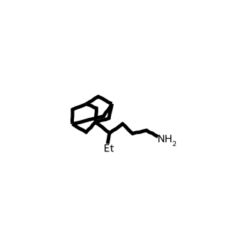 CCC(CCCN)C12CC3CC(CC(C3)C1)C2